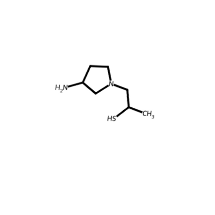 CC(S)CN1CCC(N)C1